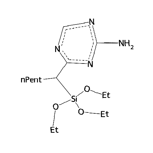 CCCCCC(c1ncnc(N)n1)[Si](OCC)(OCC)OCC